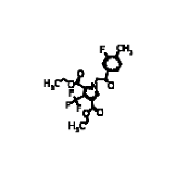 CCOC(=O)c1cn(CC(=O)c2ccc(C)c(F)c2)c(C(=O)OCC)c1C(F)(F)F